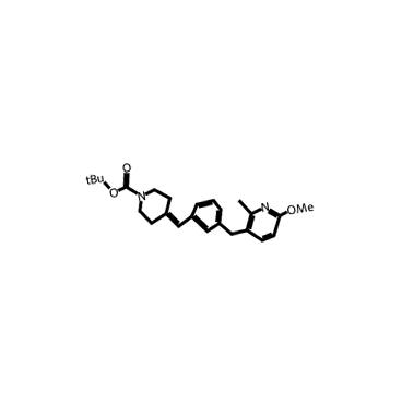 COc1ccc(Cc2cccc(C=C3CCN(C(=O)OC(C)(C)C)CC3)c2)c(C)n1